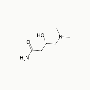 CN(C)C[C@@H](O)CC(N)=O